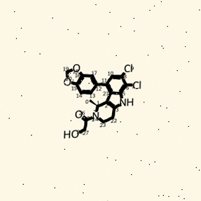 C[C@H]1c2c([nH]c3c(Cl)c(Cl)cc(-c4ccc5c(c4)OCO5)c23)CCN1C(=O)CO